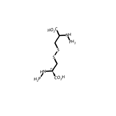 O=C(O)C(CSSC[C@H](NP)C(=O)O)NP